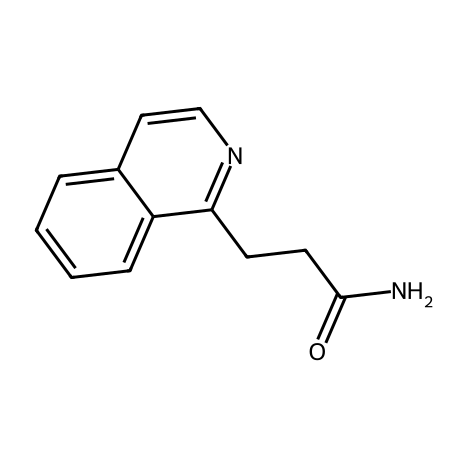 NC(=O)CCc1nccc2ccccc12